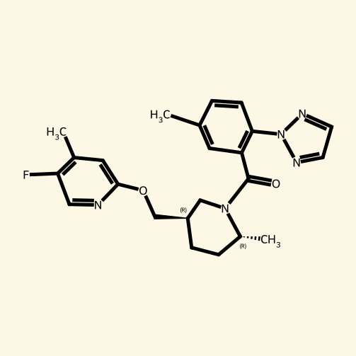 Cc1ccc(-n2nccn2)c(C(=O)N2C[C@H](COc3cc(C)c(F)cn3)CC[C@H]2C)c1